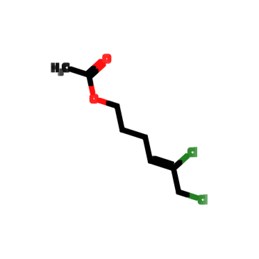 CC(=O)OCCCC=C(Cl)CCl